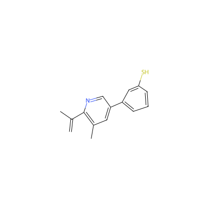 C=C(C)c1ncc(-c2cccc(S)c2)cc1C